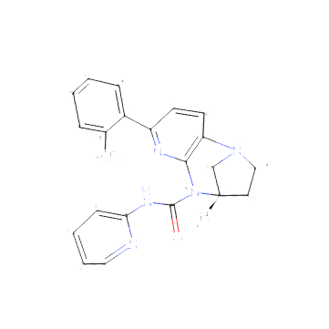 O=C(Nc1ccccn1)N1c2nc(-c3ccccc3C(F)(F)F)ccc2N2CC[C@H]1C2